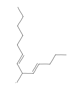 [CH2]C(C=CCCC)C=CCCCCC